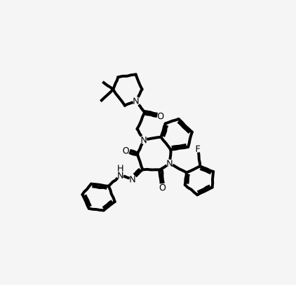 CC1(C)CCCN(C(=O)Cn2c(=O)c(=NNc3ccccc3)c(=O)n(-c3ccccc3F)c3ccccc32)C1